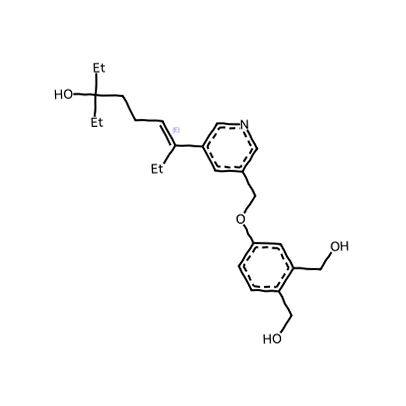 CC/C(=C\CCC(O)(CC)CC)c1cncc(COc2ccc(CO)c(CO)c2)c1